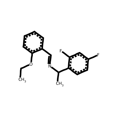 CCOc1ccccc1/C=N/C(C)c1ccc(F)cc1F